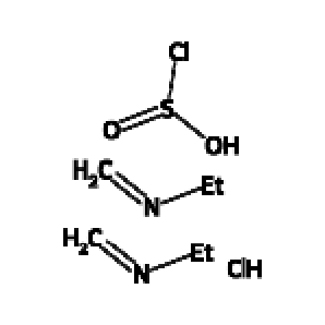 C=NCC.C=NCC.Cl.O=S(O)Cl